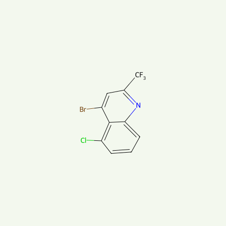 FC(F)(F)c1cc(Br)c2c(Cl)cccc2n1